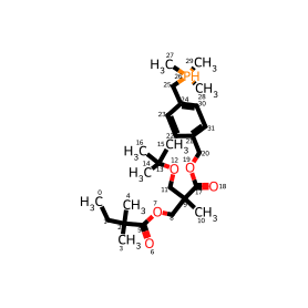 CCC(C)(C)C(=O)OCC(C)(COC(C)(C)C)C(=O)OCc1ccc(C[PH](C)(C)C)cc1